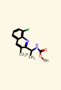 CC(NC(=O)OC(C)(C)C)c1nc2c(F)cccc2cc1C(=O)O